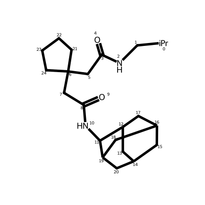 CC(C)CNC(=O)CC1(CC(=O)NC2C3CC4CC(C3)CC2C4)CCCC1